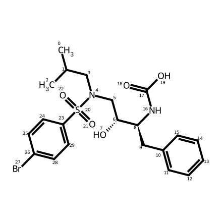 CC(C)CN(C[C@@H](O)[C@H](Cc1ccccc1)NC(=O)O)S(=O)(=O)c1ccc(Br)cc1